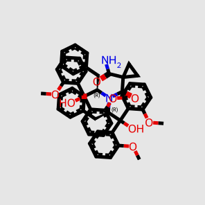 COc1ccccc1C(O)(c1ccccc1OC)[C@@H](Cc1ccccc1)N(C(=O)C1(C(N)=O)CC1)[C@H](Cc1ccccc1)C(O)(c1ccccc1OC)c1ccccc1OC